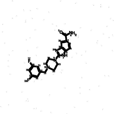 NC(=O)c1ccc2[nH]c(N3CCN(Cc4cc(F)cc(F)c4)CC3)nc2c1